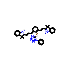 CN1c2ccccc2C(C)(C)C1/C=C/C=C1\CCCC(/C=C/C2=[N+](C)c3ccccc3C2(C)C)=C1Sc1nnnn1-c1ccccc1